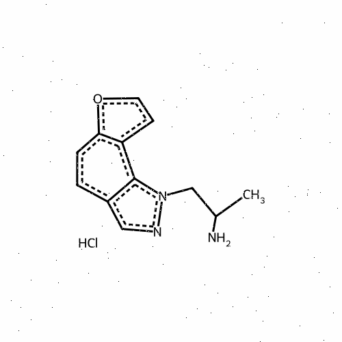 CC(N)Cn1ncc2ccc3occc3c21.Cl